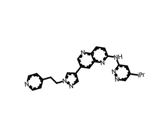 CC(C)c1cnnc(Nc2ccc3ncc(-c4cnn(CCc5ccncc5)c4)cc3n2)c1